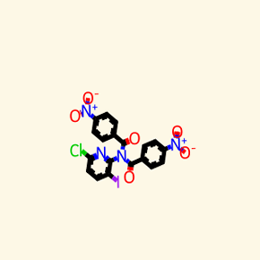 O=C(c1ccc([N+](=O)[O-])cc1)N(C(=O)c1ccc([N+](=O)[O-])cc1)c1nc(Cl)ccc1I